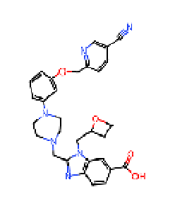 N#Cc1ccc(COc2cccc(N3CCN(Cc4nc5ccc(C(=O)O)cc5n4CC4CCO4)CC3)c2)nc1